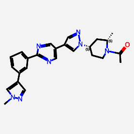 CC(=O)N1CC[C@H](n2cc(-c3cnc(-c4cccc(-c5cnn(C)c5)c4)nc3)cn2)C[C@@H]1C